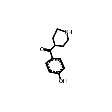 O=C(c1ccc(O)cc1)C1CCNCC1